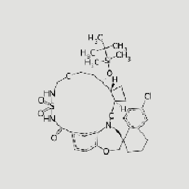 CC(C)(C)[Si](C)(C)O[C@H]1CCCCNS(=O)(=O)NC(=O)c2ccc3c(c2)N(C[C@@H]2CC[C@H]21)C[C@@]1(CCCc2cc(Cl)ccc21)CO3